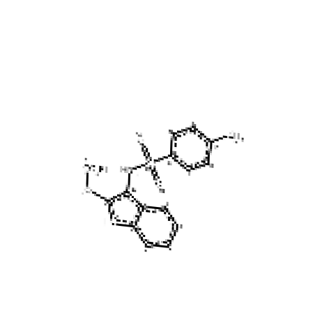 CCOC(=O)Oc1[nH]c2ccccc2c1NS(=O)(=O)c1ccc(C)cc1